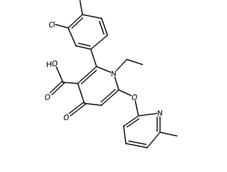 CCn1c(Oc2cccc(C)n2)cc(=O)c(C(=O)O)c1-c1ccc(Cl)c(Cl)c1